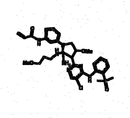 C=CC(=O)Nc1cccc(N2CC(OC)C(c3ncc(Cl)c(Nc4ccccc4P(C)(C)=O)n3)C2(N)NCCCOC)c1